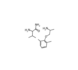 CC(C)C(N)C(N)=O.Cc1cccc(C)c1OCC(C)N